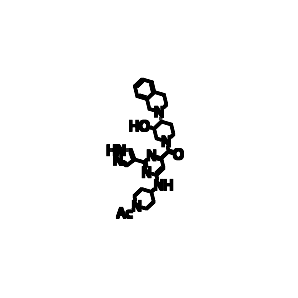 CC(=O)N1CCC(Nc2cc(C(=O)N3CC[C@@H](N4CCc5ccccc5C4)[C@H](O)C3)nc(-c3cn[nH]c3)n2)CC1